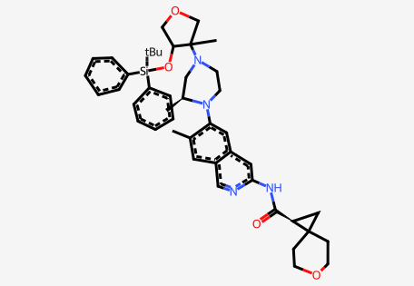 Cc1cc2cnc(NC(=O)[C@H]3CC34CCOCC4)cc2cc1N1CCN(C2(C)COCC2O[Si](c2ccccc2)(c2ccccc2)C(C)(C)C)C[C@@H]1C